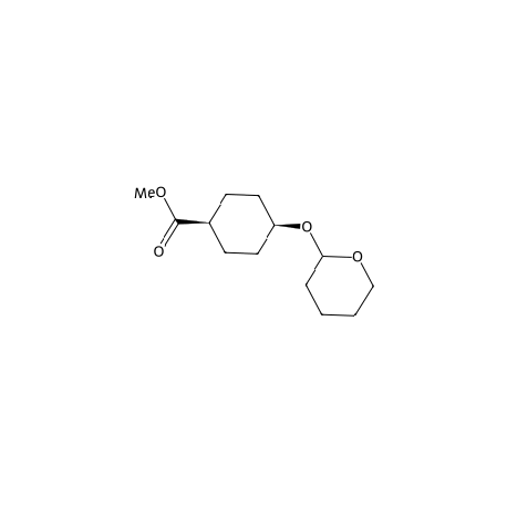 COC(=O)[C@H]1CC[C@@H](OC2CCCCO2)CC1